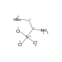 CCCCCC(N)[Si](Cl)(Cl)Cl